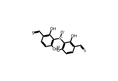 [O-][S+](c1c(O)ccc([C]=S)c1O)c1c(O)ccc([C]=S)c1O